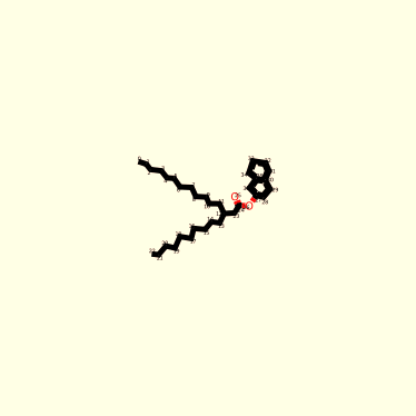 CCCCCCCCCCCCC(CCCCCCCCCC)CC(=O)Oc1ccc2ccccc2c1